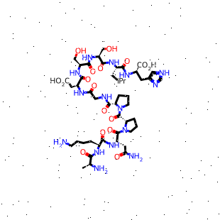 CC(C)C[C@H](NC(=O)[C@H](CO)NC(=O)[C@H](CO)NC(=O)[C@H](CC(=O)O)NC(=O)CNC(=O)[C@@H]1CCCN1C(=O)[C@@H]1CCCN1C(=O)[C@H](CC(N)=O)NC(=O)[C@H](CCCCN)NC(=O)[C@H](C)N)C(=O)N[C@@H](Cc1c[nH]cn1)C(=O)O